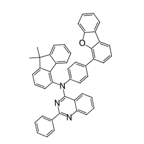 CC1(C)c2ccccc2-c2c(N(c3ccc(-c4cccc5c4oc4ccccc45)cc3)c3nc(-c4ccccc4)nc4ccccc34)cccc21